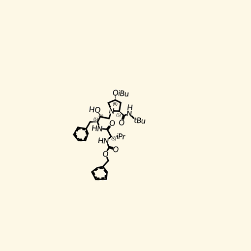 CC(C)CO[C@@H]1C[C@@H](C(=O)NC(C)(C)C)N(C[C@@H](O)[C@H](Cc2ccccc2)NC(=O)[C@@H](NC(=O)OCc2ccccc2)C(C)C)C1